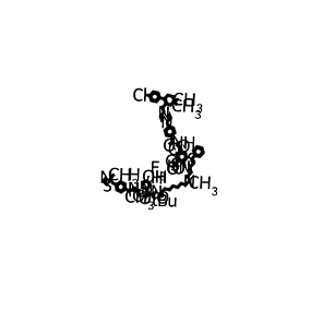 Cc1ncsc1-c1ccc([C@H](C)NC(=O)[C@@H]2C[C@@H](O)CN2C(=O)C(NC(=O)CCCCCCN(C)CCC(CSc2ccccc2)Nc2ccc(S(=O)(=O)NC(=O)c3ccc(N4CCN(CC5=C(c6ccc(Cl)cc6)CCC(C)(C)C5)CC4)cc3)cc2S(=O)(=O)C(F)(F)F)C(C)(C)C)cc1